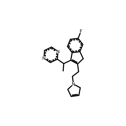 CC(C1=C(CCN2CC=CC2)Cc2cc(F)ccc21)c1cnccn1